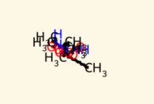 CCCCCCCCCC/C(OC(=O)CNC=O)=C(\C)C(=O)N(C)C(CC(C)C)C(=O)NC(C=O)C(C)CC